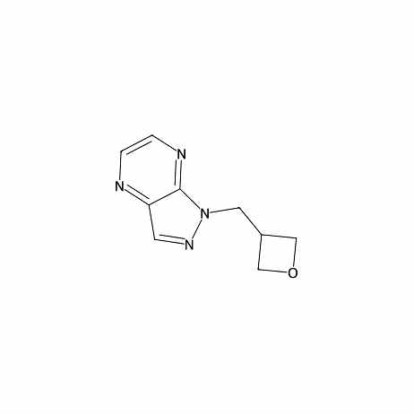 c1cnc2c(cnn2CC2COC2)n1